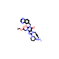 CC#CCn1c(N2CCCC(N)C2)nc2c1c(=O)n(Cc1ccc3nccnc3c1)c(=O)n2CC(=O)OCC